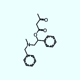 CC(=O)CC(=O)OC(CN(C)Cc1ccccc1)c1ccccc1